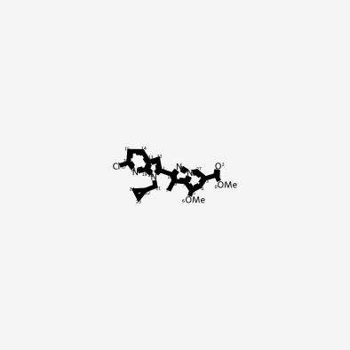 COC(=O)c1cc(OC)c2c(C)c(-c3cc4ccc(Cl)nc4n3CC3CC3)nn2c1